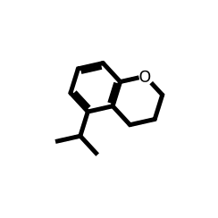 CC(C)c1cccc2c1CCCO2